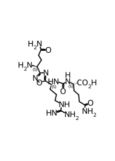 N=C(N)NCCC[C@H](NC(=O)N[C@@H](CCCC(N)=O)C(=O)O)c1nc([C@@H](N)CCC(N)=O)no1